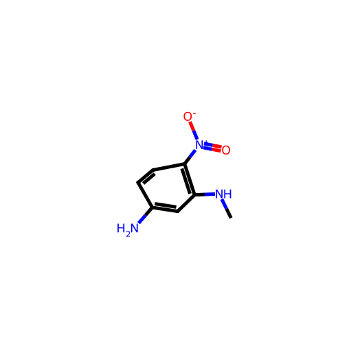 CNc1cc(N)ccc1[N+](=O)[O-]